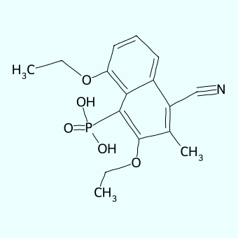 CCOc1c(C)c(C#N)c2cccc(OCC)c2c1P(=O)(O)O